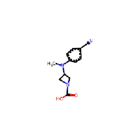 CN(c1ccc(C#N)cc1)C1CN(C(=O)O)C1